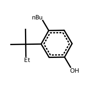 CCCCc1ccc(O)cc1C(C)(C)CC